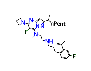 C=C(C)c1cc(F)ccc1CCCNCCN(C)c1c(F)c(N2CCC2)nc2cc([C@@H](C)CCCCC)nn12